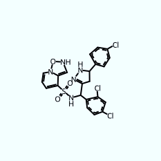 O=S(=O)(NC(C1=NNC(c2ccc(Cl)cc2)C1)c1ccc(Cl)cc1Cl)C1=CC=CN2ONC=C12